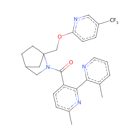 Cc1ccc(C(=O)N2CC3CCC2(COc2ccc(C(F)(F)F)cn2)C3)c(-c2ncccc2C)n1